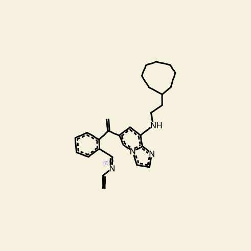 C=C/N=C\c1ccccc1C(=C)c1cc(NCCC2CCCCCCC2)c2nccn2c1